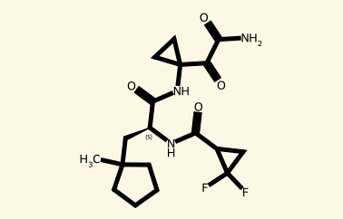 CC1(C[C@H](NC(=O)C2CC2(F)F)C(=O)NC2(C(=O)C(N)=O)CC2)CCCC1